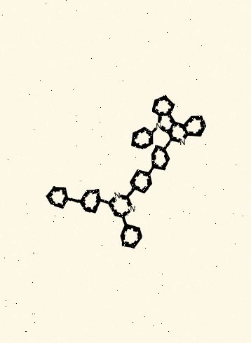 c1ccc(-c2ccc(-c3cc(-c4ccccc4)nc(-c4ccc(-c5ccc(-c6nc7ccccc7c7c8ccccc8n(-c8ccccc8)c67)cc5)cc4)n3)cc2)cc1